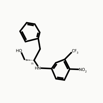 O=[N+]([O-])c1ccc(N[C@H](CO)Cc2ccccc2)cc1C(F)(F)F